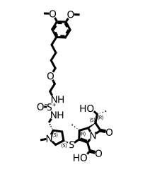 COc1ccc(CCCCOCCN[S+]([O-])NC[C@@H]2C[C@H](SC3=C(C(=O)O)N4C(=O)[C@H]([C@@H](C)O)C4[C@H]3C)CN2C)cc1OC